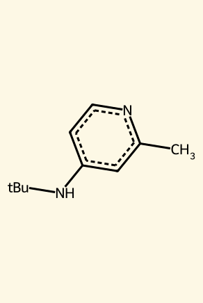 Cc1cc(NC(C)(C)C)ccn1